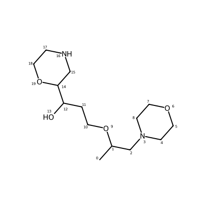 CC(CN1CCOCC1)OCCC(O)C1CNCCO1